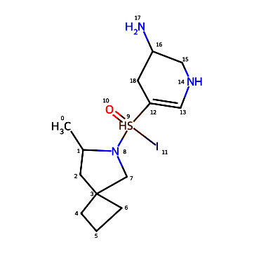 CC1CC2(CCC2)CN1[SH](=O)(I)C1=CNCC(N)C1